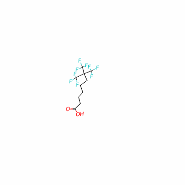 O=C(O)CCCCCC(C(F)(F)F)(C(F)(F)F)C(F)(F)F